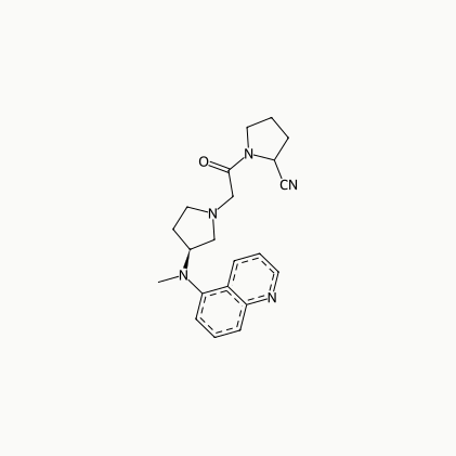 CN(c1cccc2ncccc12)[C@H]1CCN(CC(=O)N2CCCC2C#N)C1